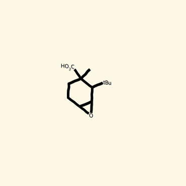 CC(C)(C)C1C2OC2CCC1(C)C(=O)O